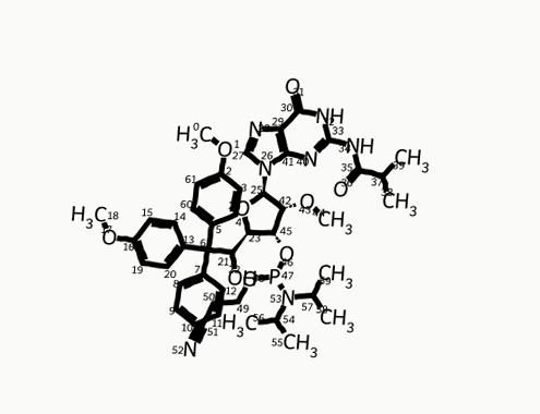 COc1ccc(C(c2ccccc2)(c2ccc(OC)cc2)C(O)[C@H]2O[C@@H](n3cnc4c(=O)[nH]c(NC(=O)C(C)C)nc43)[C@H](OC)[C@@H]2OP(OCCC#N)N(C(C)C)C(C)C)cc1